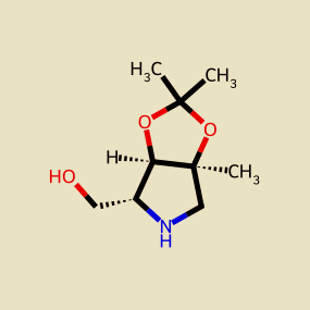 CC1(C)O[C@@H]2[C@@H](CO)NC[C@]2(C)O1